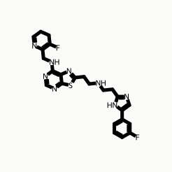 FC1=C(CNc2ncnc3sc(CCNCCc4ncc(-c5cccc(F)c5)[nH]4)nc23)N=CCC1